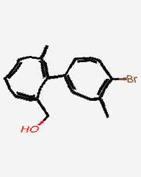 Cc1cc(-c2c(C)cccc2CO)ccc1Br